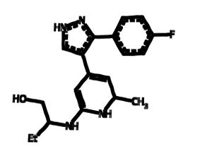 CCC(CO)NC1=CC(c2c[nH]nc2-c2ccc(F)cc2)=CC(C)N1